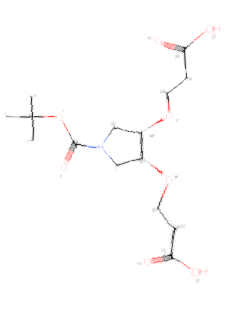 CC(C)(C)OC(=O)N1C[C@H](OCCC(=O)O)[C@H](OCCC(=O)O)C1